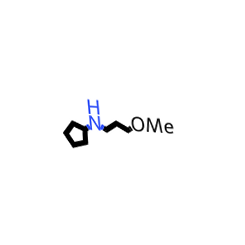 COCCCNC1CCCC1